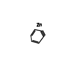 [Zn].c1ccccc#1